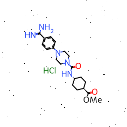 COC(=O)[C@H]1CC[C@H](NC(=O)N2CCN(c3ccc(C(=N)N)cc3)CC2)CC1.Cl